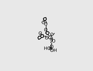 CCOC1CN(C(=O)CCCON(O)O)CC(OCc2cc(OC)c3ccccc3c2)C1c1ccc(OCCCOCc2ccccc2OC)cc1